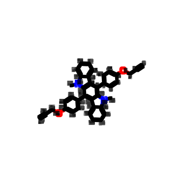 C#CCOc1ccc(-c2c3c4ccccc4n(C)c3c(-c3ccc(OCC#C)cc3)c3c4ccccc4n(C)c23)cc1